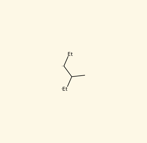 C[CH]C(C)[CH]CC